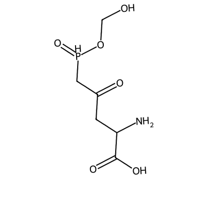 NC(CC(=O)C[PH](=O)OCO)C(=O)O